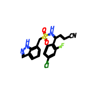 N#CCCC(NS(=O)(=O)Cc1cccc2cn[nH]c12)c1ccc(Cl)cc1F